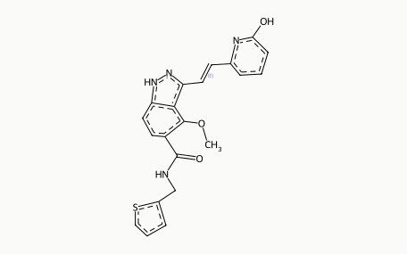 COc1c(C(=O)NCc2cccs2)ccc2[nH]nc(/C=C/c3cccc(O)n3)c12